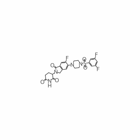 O=C1CCC(N2Cc3cc(N4CCN(S(=O)(=O)c5cc(F)cc(F)c5)CC4)c(F)cc3C2=O)C(=O)N1